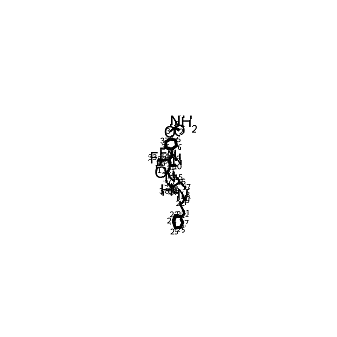 NC(=O)Oc1ccc(-n2ncc(C(=O)N3CC4CN(CC[CH]c5ccccc5)C[C@H]4C3)c2C(F)(F)F)cc1